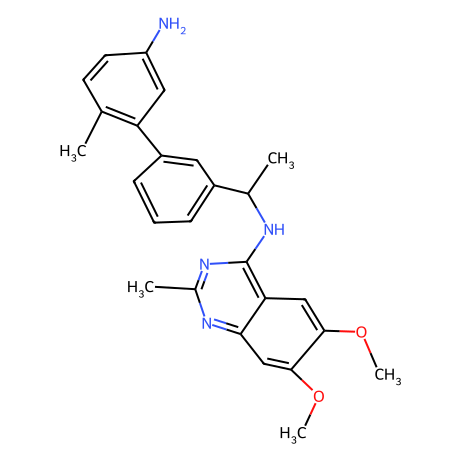 COc1cc2nc(C)nc(NC(C)c3cccc(-c4cc(N)ccc4C)c3)c2cc1OC